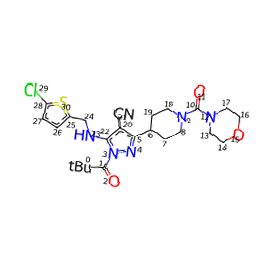 CC(C)(C)C(=O)n1nc(C2CCN(C(=O)N3CCOCC3)CC2)c(C#N)c1NCc1ccc(Cl)s1